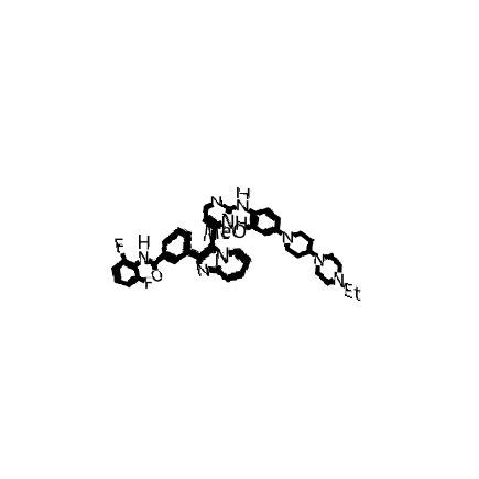 CCN1CCN(C2CCN(c3ccc(NC4N=CC=C(c5c(-c6cccc(C(=O)Nc7c(F)cccc7F)c6)nc6ccccn56)N4)c(OC)c3)CC2)CC1